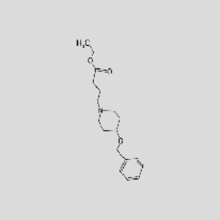 CCOC(=O)CCCN1CCC(OCc2ccccc2)CC1